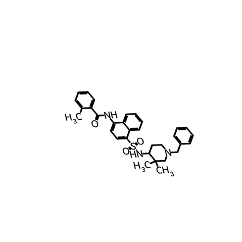 Cc1ccccc1C(=O)Nc1ccc(S(=O)(=O)NC2CCN(Cc3ccccc3)CC2(C)C)c2ccccc12